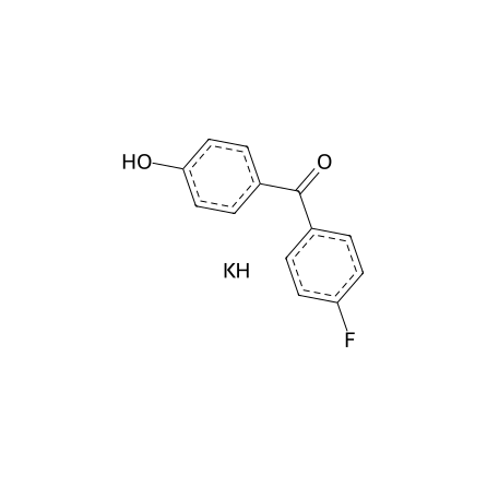 O=C(c1ccc(O)cc1)c1ccc(F)cc1.[KH]